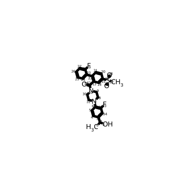 CC(O)c1ccc(N2CCN(C(=O)c3cc(S(C)(=O)=O)ccc3-c3ccccc3F)CC2)c(F)c1